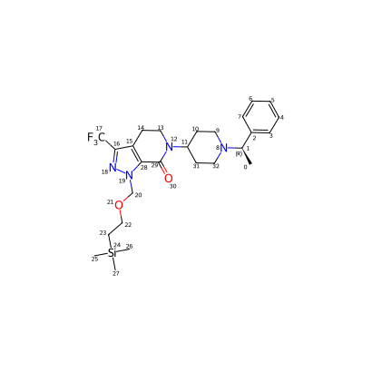 C[C@H](c1ccccc1)N1CCC(N2CCc3c(C(F)(F)F)nn(COCC[Si](C)(C)C)c3C2=O)CC1